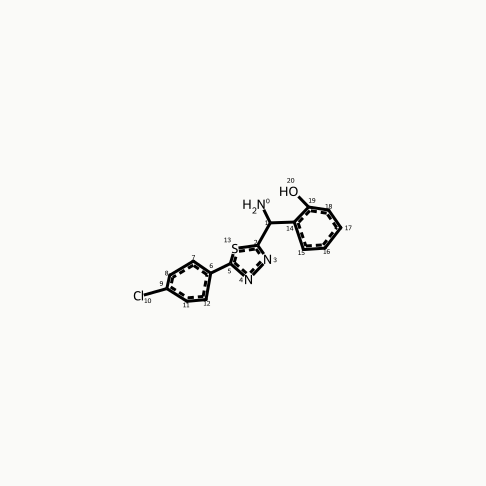 NC(c1nnc(-c2ccc(Cl)cc2)s1)c1ccccc1O